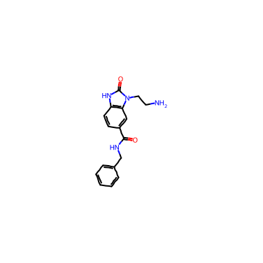 NCCn1c(=O)[nH]c2ccc(C(=O)NCc3ccccc3)cc21